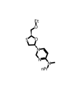 CCCN(C)C1=NCN([C@H]2CS[C@@H](COCC)O2)C=C1